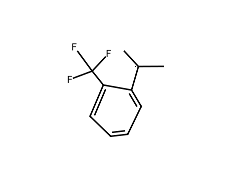 C[C](C)c1ccccc1C(F)(F)F